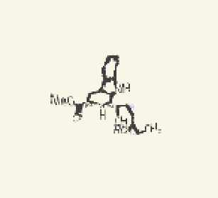 C=C(/C=C\C(O)=C/C)[C@@H]1N[C@@H](C(=O)OC)Cc2c1[nH]c1ccccc21